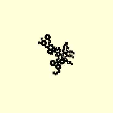 COc1ccc(C(OC[C@H]2O[C@@H](n3cnc4c(N(Cc5ccc(F)c(F)c5)C(=O)COc5ccccc5)ncnc43)[C@@H](OC)C2OP(OCCC#N)N(C(C)C)C(C)C)(c2ccccc2)c2ccc(OC)cc2)cc1